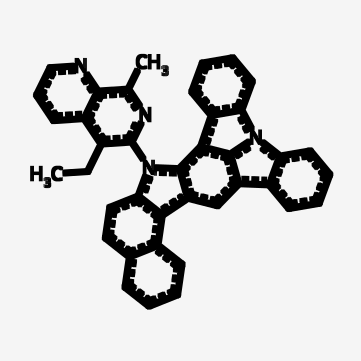 CCc1c(-n2c3ccc4ccccc4c3c3cc4c5ccccc5n5c6ccccc6c(c32)c45)nc(C)c2ncccc12